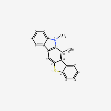 Cn1c2ccccc2c2cc3sc4ccccc4c3c(C(C)(C)C)c21